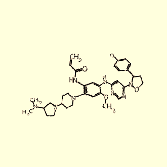 C=CC(=O)Nc1cc(Nc2cc(N3OCCC3c3ccc(Cl)cc3)ncn2)c(OC)cc1N1CCC(N2CCC(N(C)C)C2)CC1